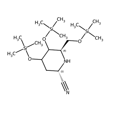 C[Si](C)(C)OC[C@H]1N[C@H](C#N)CC(O[Si](C)(C)C)C1O[Si](C)(C)C